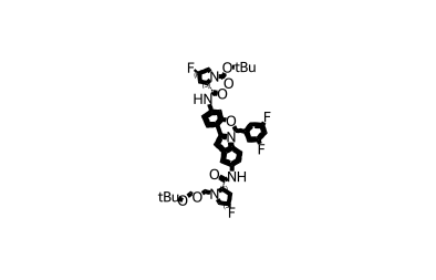 CC(C)(C)OCOCN1C[C@@H](F)C[C@H]1C(=O)Nc1ccc2c(c1)cc1n2C(c2cc(F)cc(F)c2)Oc2cc(NC(=O)[C@@H]3C[C@@H](F)CN3C(=O)OC(C)(C)C)ccc2-1